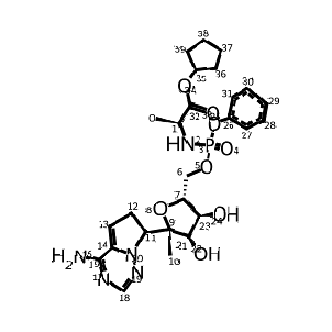 C[C@H](NP(=O)(OC[C@H]1O[C@@](C)(C2CC=C3C(N)=NC=NN32)[C@H](O)[C@@H]1O)Oc1ccccc1)C(=O)OC1CCCC1